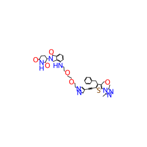 Cc1nnc2n1-c1sc(C#Cc3cnn(CCOCCOCCNc4cccc5c4CN(C4CCC(=O)NC4=O)C5=O)c3)c(Cc3ccccc3)c1COC2